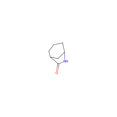 O=C1NC2[CH]CCC1C2